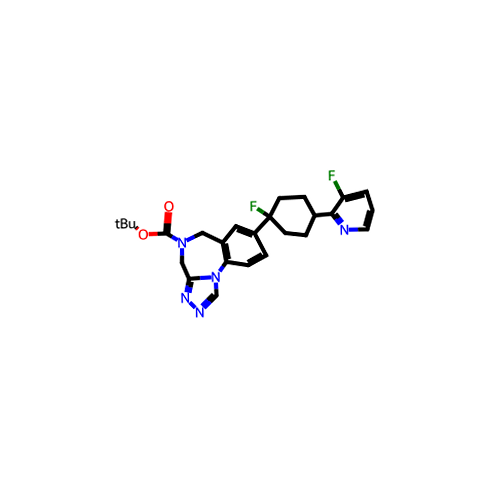 CC(C)(C)OC(=O)N1Cc2cc(C3(F)CCC(c4ncccc4F)CC3)ccc2-n2cnnc2C1